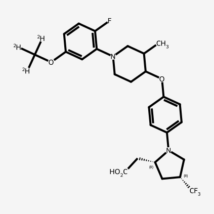 [2H]C([2H])([2H])Oc1ccc(F)c(N2CCC(Oc3ccc(N4C[C@H](C(F)(F)F)C[C@@H]4CC(=O)O)cc3)C(C)C2)c1